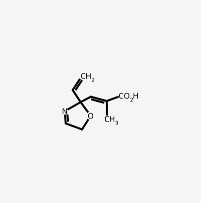 C=CC1(C=C(C)C(=O)O)N=CCO1